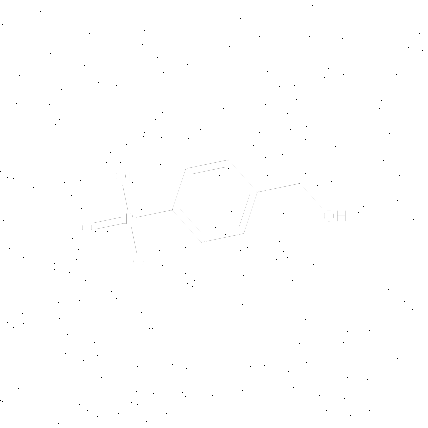 O=P(O)(O)c1ccc(CO)cc1